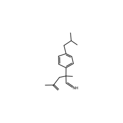 C=C(C)CC(C)(C=N)c1ccc(CC(C)C)cc1